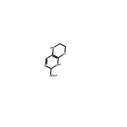 CCCCCC1N=CC2=C(N1)OCCN2